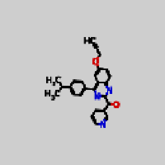 C#CCOc1ccc2nc(C(=O)c3cccnc3)nc(-c3ccc(C(C)C)cc3)c2c1